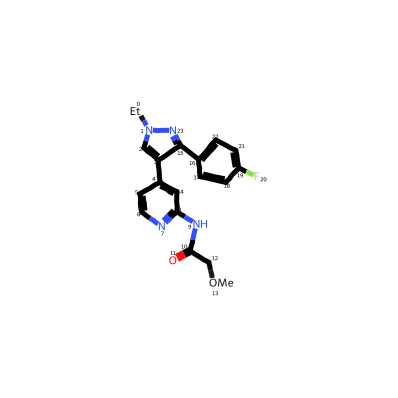 CCn1cc(-c2ccnc(NC(=O)COC)c2)c(-c2ccc(F)cc2)n1